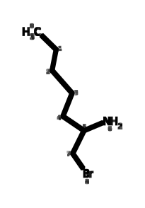 CCCCCC(N)CBr